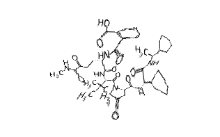 CNC(=O)C(=O)CC[C@H](NC(=O)c1ccncc1C(=O)O)C(=O)N[C@H](C(=O)N1CC(=O)CC1C(=O)N[C@H](C(=O)NC(C)C1CCCCC1)C1CCCCC1)C(C)(C)C